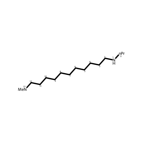 CCCNCCCCC[CH]CCCCCNC